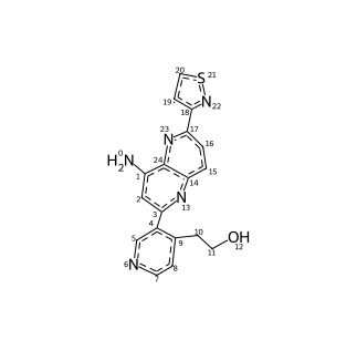 Nc1cc(-c2cnccc2CCO)nc2ccc(-c3[c]csn3)nc12